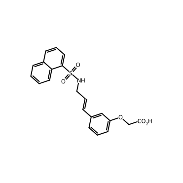 O=C(O)COc1cccc(/C=C/CNS(=O)(=O)c2cccc3ccccc23)c1